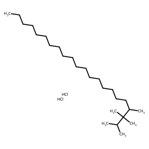 CCCCCCCCCCCCCCCCCCC(C)C(C)(C)C(C)C.Cl.Cl